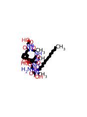 CCCCCCCCCCCCCCCC(=O)N(C)[C@H](CO)C(=O)N[C@H](N)C(=O)NCC(=O)N(C)[C@@H]1C(=O)N[C@@H](C)C(=O)N[C@H](C(=O)NCC(=O)O)Cc2ccc(O)c(c2)-c2cc1ccc2O